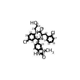 Cn1c(=O)[nH]c2ccc(C3=NC(Cc4ccccc4Cl)C(=O)N(CCO)c4ccc(Cl)cc43)cc21